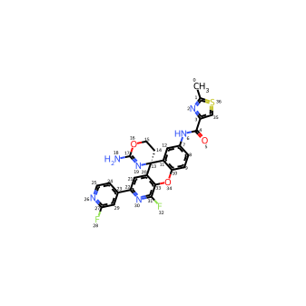 Cc1nc(C(=O)Nc2ccc3c(c2)[C@@]2(CCOC(N)=N2)c2cc(-c4ccnc(F)c4)nc(F)c2O3)cs1